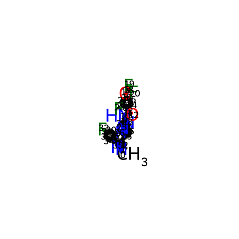 Cn1cc(-c2ccc3nc(NC(=O)c4ccc(OC(F)F)cc4F)cn3n2)c(-c2ccc(F)cc2)n1